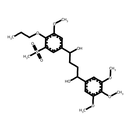 CCCOc1c(OC)cc(C(O)CCC(O)c2cc(OC)c(OC)c(OC)c2)cc1S(C)(=O)=O